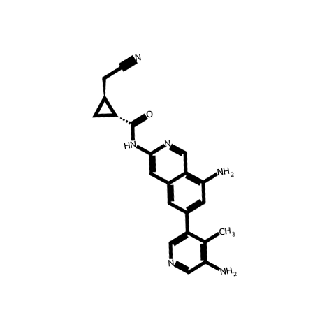 Cc1c(N)cncc1-c1cc(N)c2cnc(NC(=O)[C@@H]3C[C@H]3CC#N)cc2c1